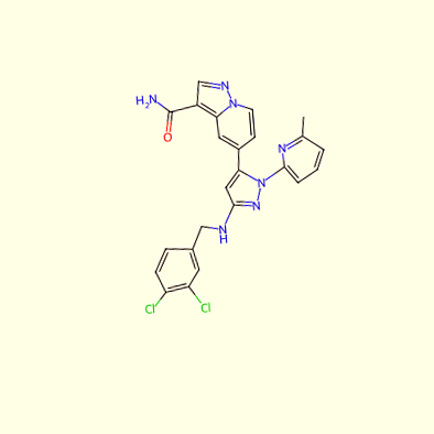 Cc1cccc(-n2nc(NCc3ccc(Cl)c(Cl)c3)cc2-c2ccn3ncc(C(N)=O)c3c2)n1